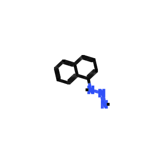 [N]=N[N]c1cccc2ccccc12